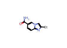 CCc1cn2cc(C(N)=O)ccc2n1